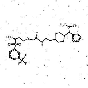 CN(C)C(c1cccs1)C1CCC(CCNC(=O)COCCN(C)S(=O)(=O)c2cccc(C(F)(F)F)c2)CC1